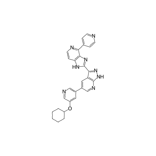 c1cc(-c2nccc3[nH]c(-c4n[nH]c5ncc(-c6cncc(OC7CCCCC7)c6)cc45)nc23)ccn1